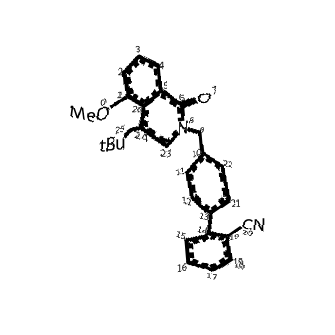 COc1cccc2c(=O)n(Cc3ccc(-c4ccccc4C#N)cc3)cc(C(C)(C)C)c12